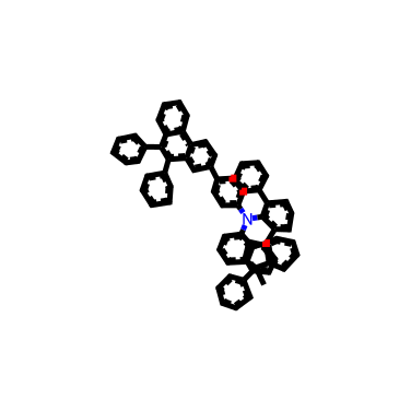 CC1(c2ccccc2)c2ccccc2-c2c(N(c3ccc(-c4ccc5c(c4)c(-c4ccccc4)c(-c4ccccc4)c4ccccc45)cc3)c3c(-c4ccccc4)cccc3-c3ccccc3)cccc21